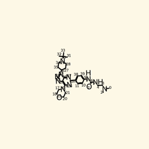 CN(C)CCNC(=O)Nc1ccc(-c2nc(N3CCOCC3)c3nnn(C4CCN(C(C)(C)C)CC4)c3n2)cc1